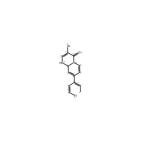 C/C=C(\C=C/CC)C1=CC2NC=C(C(C)C)C(=O)N2C=C1